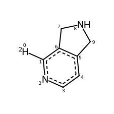 [2H]c1nccc2c1CNC2